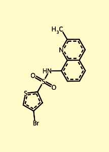 Cc1ccc2cccc(NS(=O)(=O)c3cc(Br)cs3)c2n1